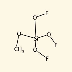 CO[Si](OF)(OF)OF